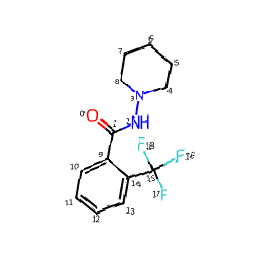 O=C(NN1CCCCC1)c1ccccc1C(F)(F)F